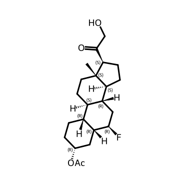 CC(=O)O[C@@H]1CC[C@@H]2[C@H]3CC[C@]4(C)[C@@H](C(=O)CO)CC[C@H]4[C@@H]3C[C@@H](F)[C@@H]2C1